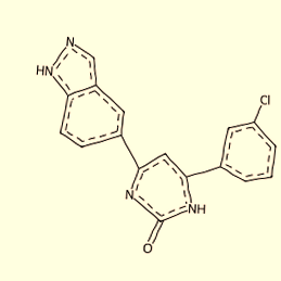 O=c1nc(-c2ccc3[nH]ncc3c2)cc(-c2cccc(Cl)c2)[nH]1